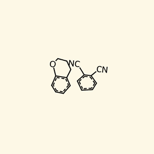 N#Cc1ccccc1C#N.c1ccc2c(c1)CCCO2